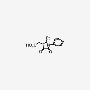 CCC1C(CC(=O)O)C(=O)C(=O)N1c1ccccc1